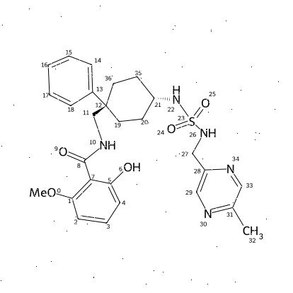 COc1cccc(O)c1C(=O)NC[C@]1(c2ccccc2)CC[C@@H](NS(=O)(=O)NCc2cnc(C)cn2)CC1